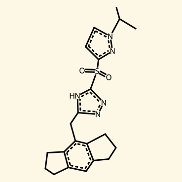 CC(C)n1ccc(S(=O)(=O)c2nnc(Cc3c4c(cc5c3CCC5)CCC4)[nH]2)n1